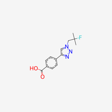 CC(C)(F)Cn1cc(-c2ccc(C(=O)O)cc2)nn1